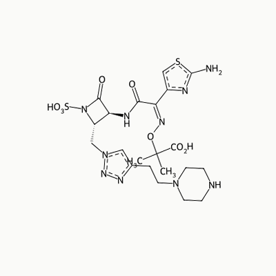 CC(C)(ON=C(C(=O)N[C@@H]1C(=O)N(S(=O)(=O)O)[C@H]1Cn1cc(CCN2CCNCC2)nn1)c1csc(N)n1)C(=O)O